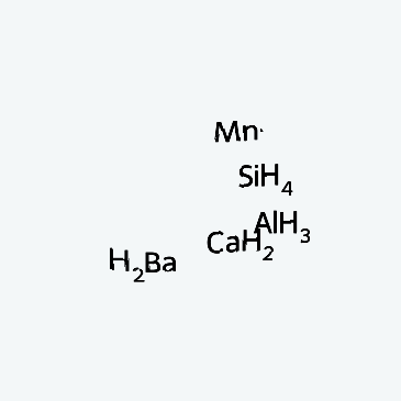 [AlH3].[BaH2].[CaH2].[Mn].[SiH4]